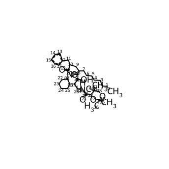 CCCCCCCCCCC(Cc1ccccc1)C(=O)N[C@H]1CCCC[C@H]1C(CNC(=O)C1OC(C)(C)OCC1(C)C)C(=O)O